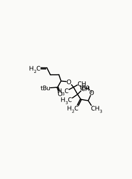 C=CCCC(OC(C)(C)C(C)(C)C(=C)C(C)OC(C)(C)C)C(=O)C(C)(C)C